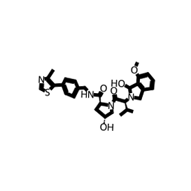 COc1cccc2c1C(O)N([C@H](C(=O)N1C[C@H](O)C[C@H]1C(=O)NCc1ccc(-c3scnc3C)cc1)C(C)C)C2